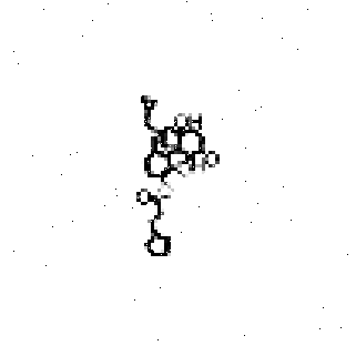 O=C(CCC1CCCC1)OC1=C2O[C@H]3C(=O)CC[C@@]4(O)C5CC(C=C1)C2[C@@]34CCN5CC1CC1